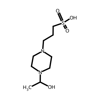 CC(O)N1CCN(CCCS(=O)(=O)O)CC1